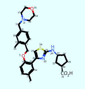 Cc1ccc(OCc2ccc(CN3CCOCC3)cc2C)c(-c2csc(N[C@H]3CC[C@@H](C(=O)O)C3)n2)c1